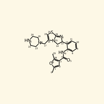 Cc1cc(C(=O)Nc2ccccc2C2CN3C(CN4CCNCC4)=CSC3=N2)c(C)o1